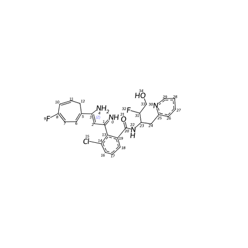 N=C(/C=C(\N)C1=CC=C(F)C=CC1)c1c(Cl)cccc1C(=O)NC(Cc1ccccn1)C(F)CO